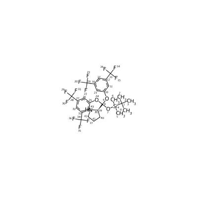 CC(C)(C)[Si](C)(C)OC(Oc1cc(C(F)(F)F)cc(C(F)(F)F)c1)(Oc1cc(C(F)(F)F)cc(C(F)(F)F)c1)[C@H]1CCCN1